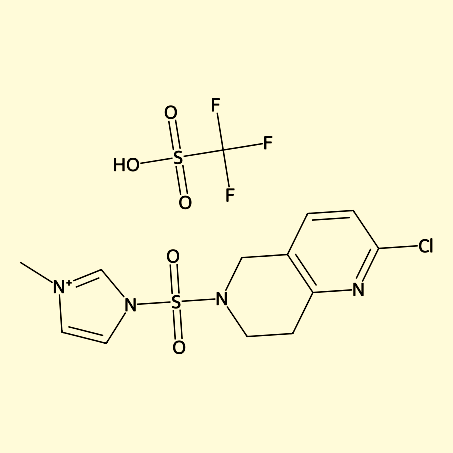 C[n+]1ccn(S(=O)(=O)N2CCc3nc(Cl)ccc3C2)c1.O=S(=O)(O)C(F)(F)F